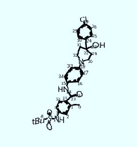 Cc1cc(NS(=O)(=O)C(C)(C)C)ccc1C(=O)Nc1ccc(N2CCC(O)(c3ccc(Cl)cc3)CC2)cc1